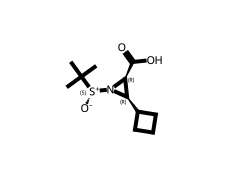 CC(C)(C)[S@@+]([O-])N1[C@H](C2CCC2)[C@@H]1C(=O)O